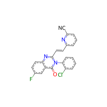 N#Cc1cccc(/C=C/c2nc3ccc(F)cc3c(=O)n2-c2ccccc2Cl)n1